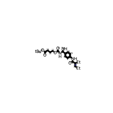 CC/C=C(\CC)C(=O)Nc1ccc(C(=N)NC(=O)OCCCC(=O)OC(C)(C)C)cc1